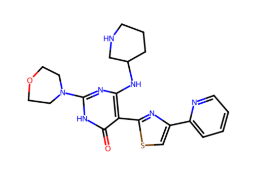 O=c1[nH]c(N2CCOCC2)nc(NC2CCCNC2)c1-c1nc(-c2ccccn2)cs1